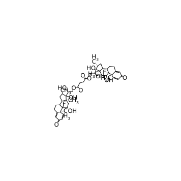 C[C@@H]1CC2C3CCC4=CC(=O)C=C[C@]4(C)[C@@]3(F)[C@@H](O)C[C@]2(C)[C@@]1(O)C(O)COC(=O)CCC(=O)OCC(O)[C@@]1(O)[C@H](C)CC2C3CCC4=CC(=O)C=C[C@]4(C)[C@@]3(F)[C@@H](O)C[C@@]21C